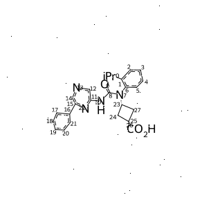 CC(C)c1ccccc1N(C(=O)Nc1cncc(-c2ccccc2)n1)[C@H]1C[C@H](C(=O)O)C1